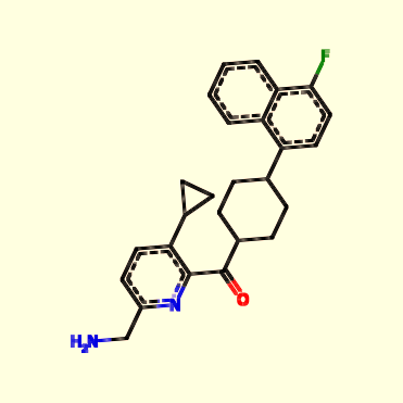 NCc1ccc(C2CC2)c(C(=O)C2CCC(c3ccc(F)c4ccccc34)CC2)n1